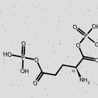 N[C@@H](CCC(=O)OP(=O)(O)O)C(=O)OP(=O)(O)O